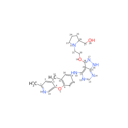 Cc1ccc(Oc2ccc(Nc3ncnc4[nH]nc(OCCN5CCCC5CO)c34)cc2C)cn1